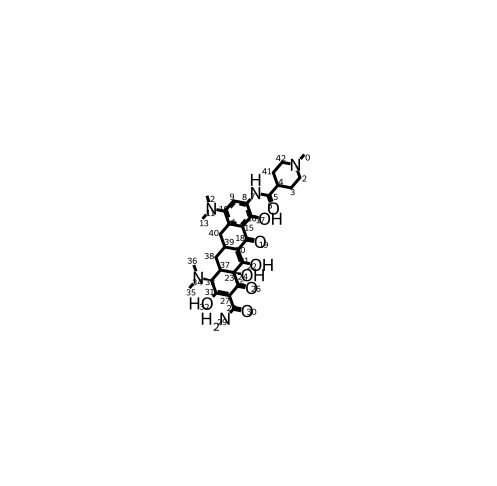 CN1CCC(C(=O)Nc2cc(N(C)C)c3c(c2O)C(=O)C2=C(O)[C@]4(O)C(=O)C(C(N)=O)=C(O)[C@@H](N(C)C)C4CC2C3)CC1